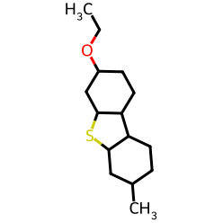 CCOC1CCC2C(C1)SC1CC(C)CCC12